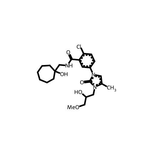 COCC(O)Cn1c(C)cn(-c2ccc(Cl)c(C(=O)NCC3(O)CCCCCC3)c2)c1=O